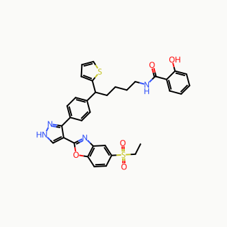 CCS(=O)(=O)c1ccc2oc(-c3c[nH]nc3-c3ccc(C(CCCCNC(=O)c4ccccc4O)c4cccs4)cc3)nc2c1